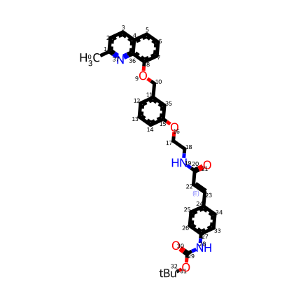 Cc1ccc2cccc(OCc3cccc(OCCNC(=O)/C=C/c4ccc(NC(=O)OC(C)(C)C)cc4)c3)c2n1